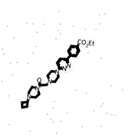 CCOC(=O)c1ccc(-c2ccc(N3CCN(CC(=O)N4CCN(C5CCC5)CC4)CC3)nn2)cc1